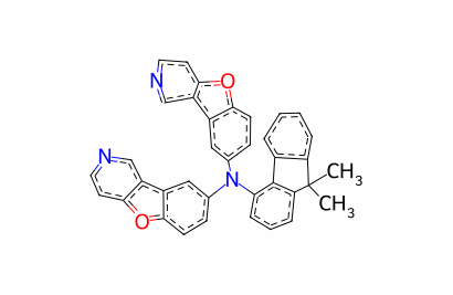 CC1(C)c2ccccc2-c2c(N(c3ccc4oc5ccncc5c4c3)c3ccc4oc5ccncc5c4c3)cccc21